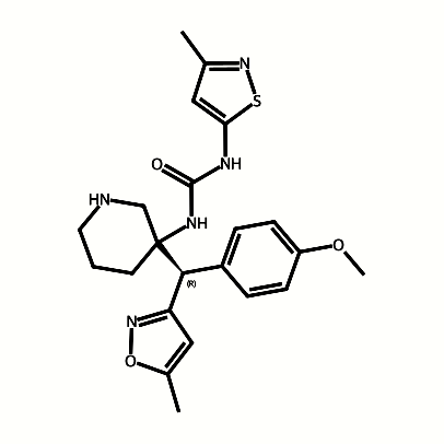 COc1ccc([C@@H](c2cc(C)on2)C2(NC(=O)Nc3cc(C)ns3)CCCNC2)cc1